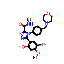 CCNC(=O)c1nnc(-c2cc(C(C)C)c(OCC)cc2O)n1-c1ccc(CN2CCOCC2)cc1